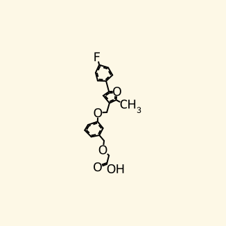 Cc1oc(-c2ccc(F)cc2)cc1COc1cccc(COCC(=O)O)c1